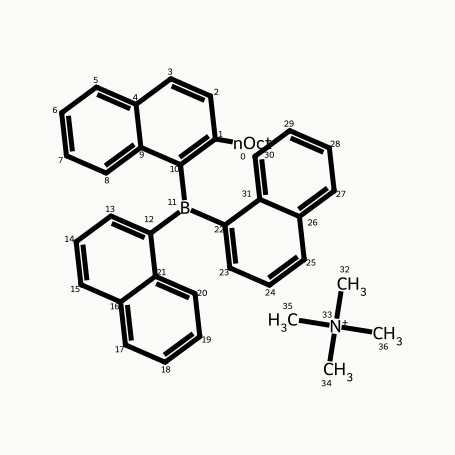 CCCCCCCCc1ccc2ccccc2c1B(c1cccc2ccccc12)c1cccc2ccccc12.C[N+](C)(C)C